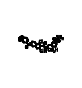 NS(=O)(=O)c1cccc(CC(NC(=O)c2c(Cl)cc3c(c2Cl)CCN(C(=O)c2ccc4ccoc4c2)C3)C(=O)O)c1